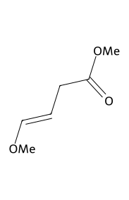 CO/C=C/CC(=O)OC